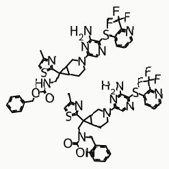 Cc1csc(C2(CN(Cc3ccccc3)C(=O)O)C3CCN(c4cnc(Sc5cccnc5C(F)(F)F)c(N)n4)CC32)n1.Cc1csc(C2(CNC(=O)OCc3ccccc3)C3CCN(c4cnc(Sc5cccnc5C(F)(F)F)c(N)n4)CC32)n1